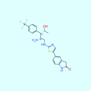 CC(O)[C@@H](c1ccc(C(F)(F)F)cc1)[C@@H](N)CNc1ncc(-c2ccc3c(c2)CC(=O)N3)s1